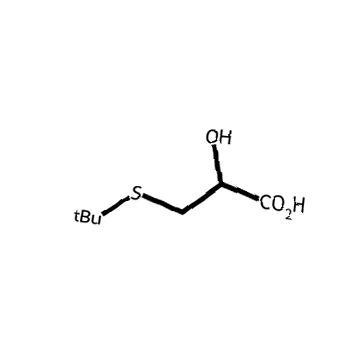 CC(C)(C)SCC(O)C(=O)O